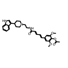 COc1cc(C=CC=CC(=O)NCCN2CCC(c3c[nH]c4ccccc34)CC2)cc(OC)c1OC(C)=O